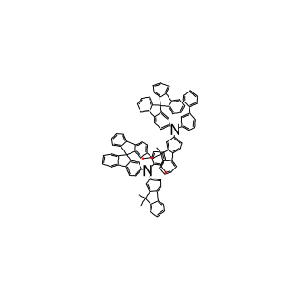 Cc1cccc(C)c1N(c1ccc2c(c1)C(C)(C)c1ccccc1-2)c1ccc2c(c1)C1(c3ccccc3-c3ccc(CC4(C)c5ccccc5-c5ccc(N(c6cccc(-c7ccccc7)c6)c6ccc7c(c6)C6(c8ccccc8-c8ccccc86)c6ccccc6-7)cc54)cc31)c1ccccc1-2